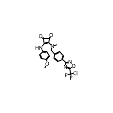 COc1ccc(Nc2c(N(C)Cc3ccc(-c4noc(C(F)(F)Cl)n4)cc3)c(=O)c2=O)cc1